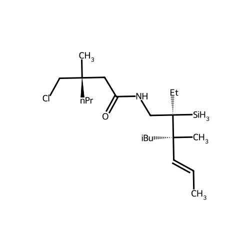 CC=C[C@@](C)(C(C)CC)[C@@]([SiH3])(CC)CNC(=O)C[C@@](C)(CCl)CCC